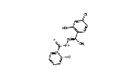 C/C(=N\NC(=O)c1ccccc1Cl)c1ccc(Cl)cc1O